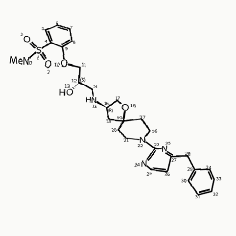 CNS(=O)(=O)c1ccccc1OC[C@@H](O)CN[C@H]1COC2(CCN(c3nccc(Cc4ccccc4)n3)CC2)C1